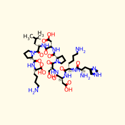 CC(C)C[C@H](NC(=O)[C@H](CC(=O)O)NC(=O)[C@@H]1CCCN1C(=O)[C@H](CO)NC(=O)[C@H](CC(=O)O)NC(=O)[C@H](CCCCN)NC(=O)[C@@H](N)Cc1c[nH]cn1)C(=O)N1CCC[C@H]1C(=O)N[C@@H](CCCCN)C(=O)O